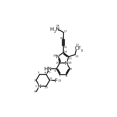 CN1CC[C@@H](Nc2cccn3c(CC(F)(F)F)c(C#CCN)nc23)[C@@H](F)C1